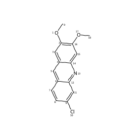 COc1cc2cc3ccc(Cl)cc3nc2cc1OC